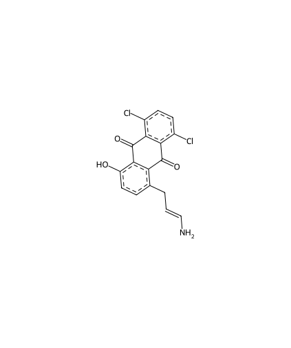 NC=CCc1ccc(O)c2c1C(=O)c1c(Cl)ccc(Cl)c1C2=O